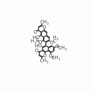 COc1cc(OC)c2c(c1)c(-c1c(OC)cc3cc4oc(C)cc(=O)c4c(O)c3c1OC)c(O)c1c(=O)cc(C)oc12